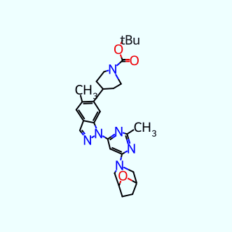 Cc1nc(N2CC3CCC(C2)O3)cc(-n2ncc3cc(C)c(C4CCN(C(=O)OC(C)(C)C)CC4)cc32)n1